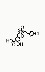 O=C(O)c1cc(C=C2SC(=O)N(CCc3ccc(Cl)cc3)C2=O)ccc1O